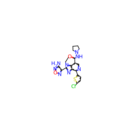 CCn1c(-c2nonc2N)nc2c(-c3ccc(Cl)s3)ncc(C(=O)NN3CCCC3)c21